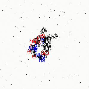 CC(=O)N[C@H]1[C@@H](OCc2ccccc2)O[C@H](CO)[C@@H](O)[C@@H]1O[C@H](C)C(=O)N[C@@H](C)C(=O)N[C@H](CCC(=O)NCc1cn(CC(=O)O[C@H]2CC[C@@]3(C)C(=CC[C@H]4[C@@H]5CC[C@H]([C@H](C)CCCC(C)C)[C@@]5(C)CC[C@@H]43)C2)nn1)C(N)=O